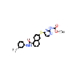 CC(C)(C)OC(=O)Nc1nccc(Sc2ccc3c(C(=O)Nc4cccc(C(F)(F)F)c4)cccc3c2)n1